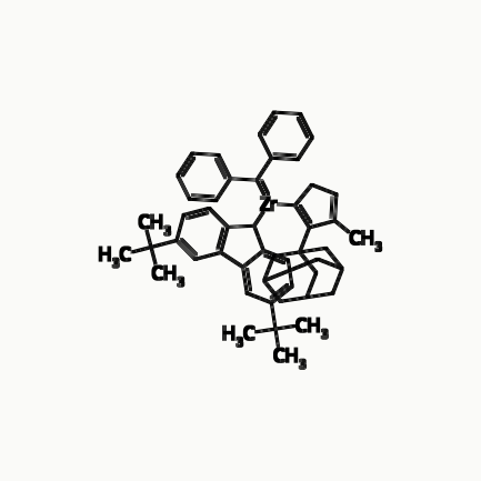 CC1=CC[C]([Zr](=[C](c2ccccc2)c2ccccc2)[CH]2c3ccc(C(C)(C)C)cc3-c3cc(C(C)(C)C)ccc32)=C1C12CC3CC(CC(C3)C1)C2